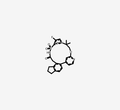 CC1(C)COc2cc(ccn2)-c2ccc3c(c2CC(=O)NS(=O)(=O)c2nn1cc2F)CCC3